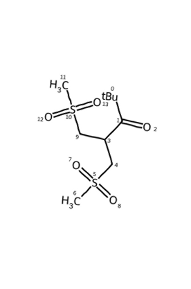 CC(C)(C)C(=O)C(CS(C)(=O)=O)CS(C)(=O)=O